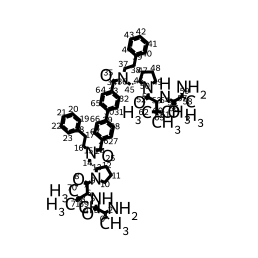 C[C@H](N)C(=O)N[C@H](C(=O)N1CCC[C@H]1CN(CCc1ccccc1)C(=O)c1ccc(-c2ccc(C(=O)N(CCc3ccccc3)C[C@@H]3CCCN3C(=O)[C@@H](NC(=O)[C@H](C)N)C(C)(C)C)cc2)cc1)C(C)(C)C